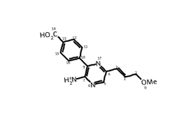 COCC=Cc1cnc(N)c(-c2ccc(C(=O)O)cc2)n1